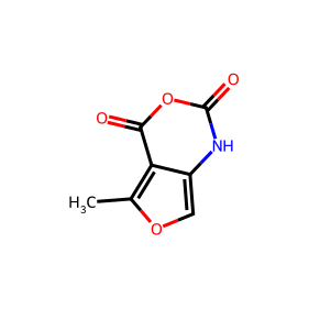 Cc1occ2[nH]c(=O)oc(=O)c12